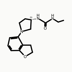 CCNC(=O)N[C@H]1CCN(c2cccc3c2CCO3)C1